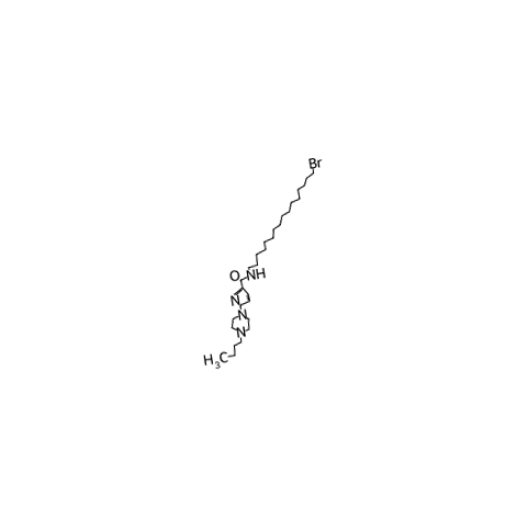 CCCCN1CCN(c2ccc(C(=O)NCCCCCCCCCCCCCCCCBr)cn2)CC1